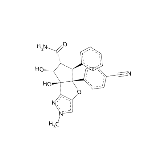 Cn1cc2c(n1)[C@]1(O)[C@H](O)[C@H](C(N)=O)[C@@H](c3ccccc3)[C@]1(c1ccc(C#N)cc1)O2